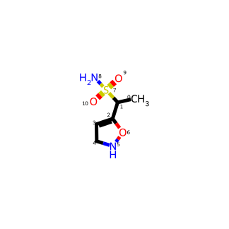 CC(C1=CCNO1)S(N)(=O)=O